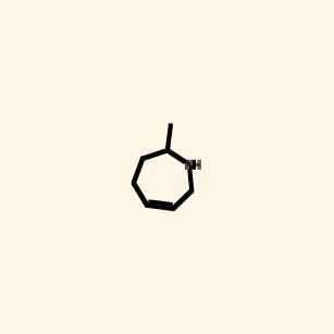 CC1CCC=CCN1